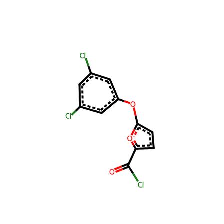 O=C(Cl)c1ccc(Oc2cc(Cl)cc(Cl)c2)o1